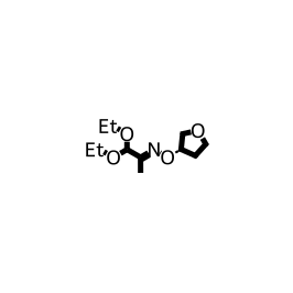 CCOC(OCC)/C(C)=N/O[C@H]1CCOC1